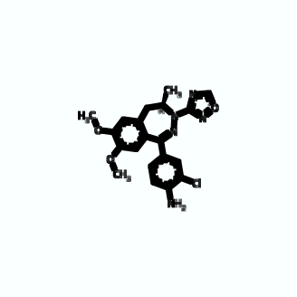 COc1cc2c(cc1OC)C(c1ccc(N)c(Cl)c1)=NN(c1ncon1)[C@H](C)C2